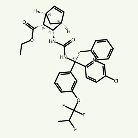 CCOC(=O)[C@H]1[C@@H](NC(=O)N[C@](Cc2ccccc2)(c2cccc(OC(F)(F)C(C)F)c2)c2ccc(Cl)cn2)[C@@H]2C=C[C@H]1C2